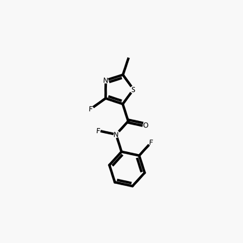 Cc1nc(F)c(C(=O)N(F)c2ccccc2F)s1